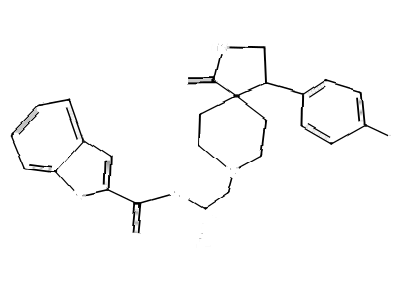 C[C@@H](CN1CCC2(CC1)C(=O)NCC2c1ccc(F)cc1)NC(=O)c1cc2ccccc2[nH]1